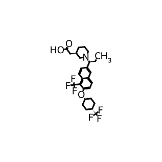 CC[C@@H](c1ccc2c(C(F)(F)F)c(O[C@H]3CC[C@@H](C(F)(F)F)CC3)ccc2c1)N1CCC[C@H](CC(=O)O)C1